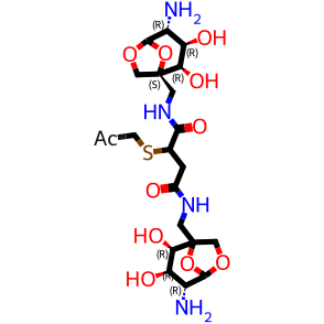 CC(=O)CSC(CC(=O)NCC12COC(O1)[C@H](N)[C@@H](O)[C@H]2O)C(=O)NC[C@@]12COC(O1)[C@H](N)[C@@H](O)[C@H]2O